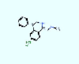 CNC[C@H]1NC[C@@H](c2ccccc2)c2ccccc21.Cl.Cl